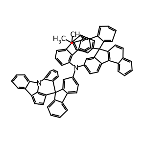 CC1(C)c2ccccc2-c2c(N(c3ccc4c(c3)C3(c5ccccc5-c5ccccc53)c3ccc5ccccc5c3-4)c3ccc4c(c3)C3(c5ccccc5-4)c4ccccc4-n4c5ccccc5c5cccc3c54)cccc21